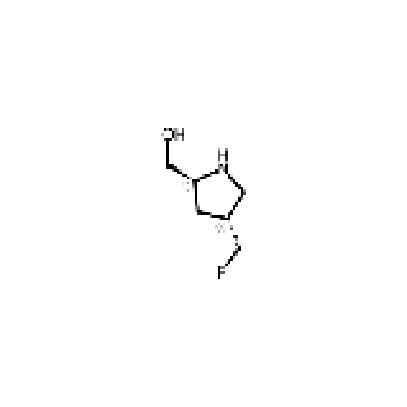 OC[C@@H]1C[C@@H](CF)CN1